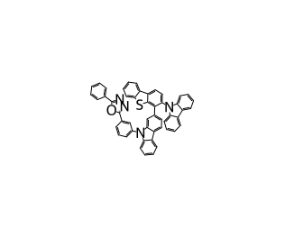 c1ccc(-c2nnc(-c3cccc(-n4c5ccccc5c5ccc(-c6c(-n7c8ccccc8c8ccccc87)ccc7c6sc6ccccc67)cc54)c3)o2)cc1